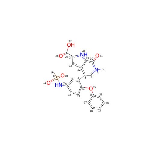 Cn1cc(-c2cc(NS(C)(=O)=O)ccc2Oc2ccccc2)c2cc(C(=O)O)[nH]c2c1=O